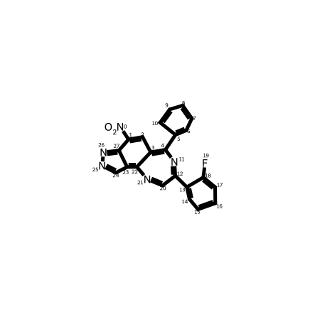 O=[N+]([O-])c1cc2c(-c3ccccc3)nc(-c3ccccc3F)cnc2c2cnnc12